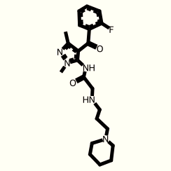 Cc1nn(C)c(NC(=O)CNCCCN2CCCCC2)c1C(=O)c1ccccc1F